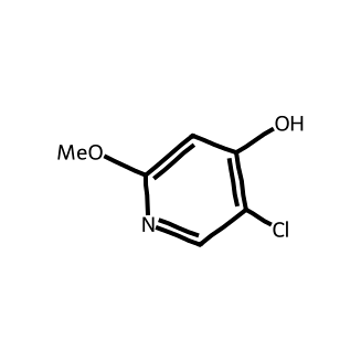 COc1cc(O)c(Cl)cn1